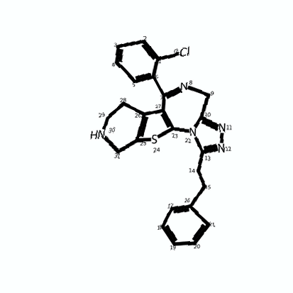 Clc1ccccc1C1=NCc2nnc(CCc3ccccc3)n2-c2sc3c(c21)CCNC3